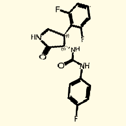 O=C(Nc1ccc(F)cc1)N[C@@H]1C(=O)NC[C@H]1c1c(F)c[c]cc1F